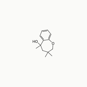 CC1(C)COc2ccccc2C(C)(O)C1